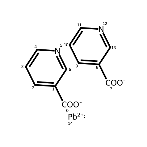 O=C([O-])c1cccnc1.O=C([O-])c1cccnc1.[Pb+2]